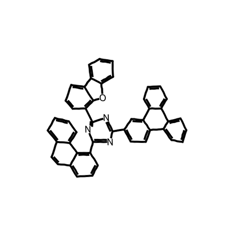 c1ccc2c(c1)ccc1cccc(-c3nc(-c4ccc5c6ccccc6c6ccccc6c5c4)nc(-c4cccc5c4oc4ccccc45)n3)c12